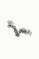 CCOC(=O)N1CC2(CC[C@@H](N3CCN(c4ncccc4C4=CCN(C(=O)OC(C)(C)C)C4)CC3)C2)C1